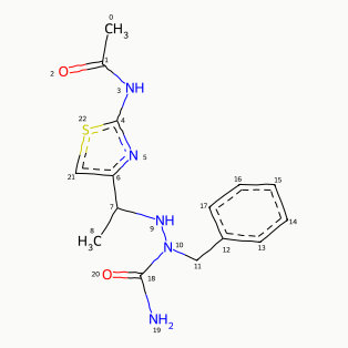 CC(=O)Nc1nc(C(C)NN(Cc2ccccc2)C(N)=O)cs1